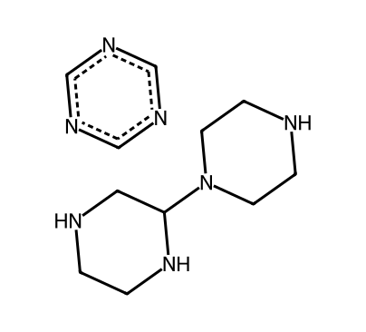 C1CN(C2CNCCN2)CCN1.c1ncncn1